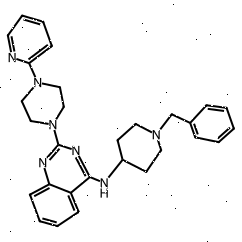 c1ccc(CN2CCC(Nc3nc(N4CCN(c5ccccn5)CC4)nc4ccccc34)CC2)cc1